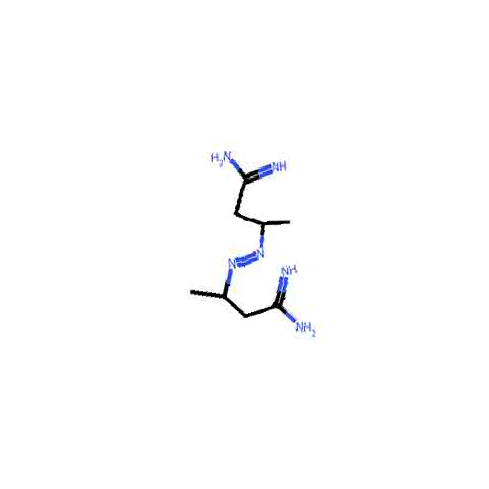 CC(CC(=N)N)N=NC(C)CC(=N)N